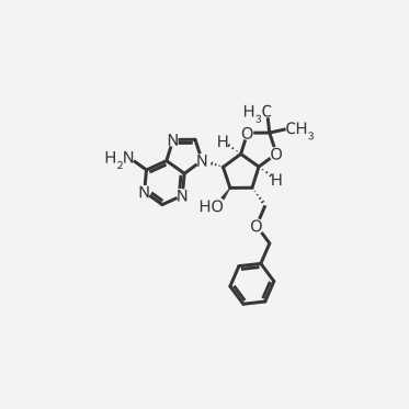 CC1(C)O[C@H]2[C@H](COCc3ccccc3)[C@@H](O)[C@H](n3cnc4c(N)ncnc43)[C@H]2O1